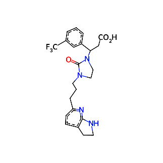 O=C(O)CC(c1cccc(C(F)(F)F)c1)N1CCN(CCCc2ccc3c(n2)NCC3)C1=O